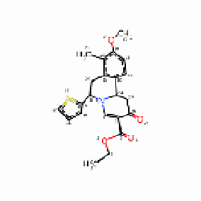 CCOC(=O)C1=CN2C(c3cccs3)Cc3c(ccc(OC)c3C)C2CC1=O